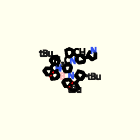 CC(C)(C)c1ccc(N2c3ccccc3B3c4ccc(C(C)(C)C)cc4N(c4ccc(C(C)(C)C)cc4-c4ccccc4)c4cc(N5c6ccc(-c7cccnc7)cc6C6(C)CCCCC56C)cc2c43)c(-c2ccccc2)c1